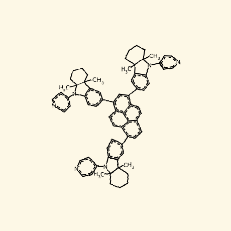 CC12CCCCC1(C)N(c1ccncc1)c1ccc(-c3ccc4ccc5c(-c6ccc7c(c6)C6(C)CCCCC6(C)N7c6ccncc6)cc(-c6ccc7c(c6)C6(C)CCCCC6(C)N7c6ccncc6)c6ccc3c4c56)cc12